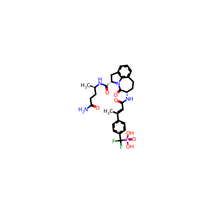 C/C(=C\C(=O)N[C@H]1CCc2cccc3c2N(C1=O)[C@H](C(=O)N[C@H](C)CCC(N)=O)C3)c1ccc(C(F)(F)P(=O)(O)O)cc1